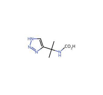 CC(C)(NC(=O)O)c1c[nH]nn1